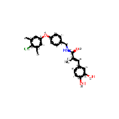 Cc1cc(Oc2ccc(CNC(=O)/C(C#N)=C/c3ccc(O)c(O)c3)cc2)cc(C)c1Cl